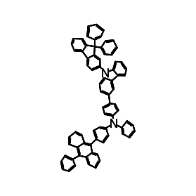 c1ccc(-c2c3ccccc3c(-c3ccc(N(c4ccccc4)c4ccc(-c5ccc6c(c5)c5ccccc5n6-c5ccc6c(c5)C(c5ccccc5)(c5ccccc5)c5ccccc5-6)cc4)cc3)c3ccccc23)cc1